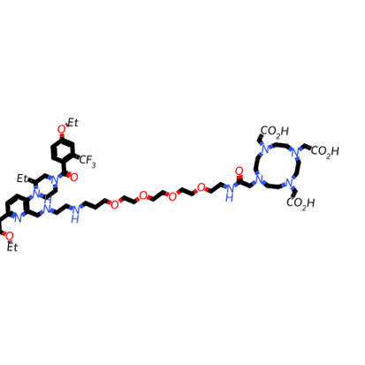 CCOc1ccc(C(=O)N2CCN(c3ccc(-c4ccccc4OCC)nc3CNCCNCCCOCCOCCOCCOCCNC(=O)CN3CCN(CC(=O)O)CCN(CC(=O)O)CCN(CC(=O)O)CC3)C(CC)C2)c(C(F)(F)F)c1